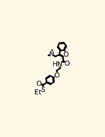 CCSC(=O)c1ccc(OCCNC(=O)c2oc3ccccc3c2CN(C)C)cc1